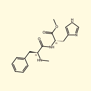 CN[C@@H](Cc1ccccc1)C(=O)N[C@@H](Cc1c[nH]cn1)C(=O)OC